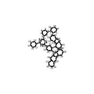 c1ccc(-c2cccc(-c3nc(-c4ccccc4)nc(-c4ccc(-n5c6ccccc6c6cc7ccccc7cc65)c(-c5cccc6sc7ccccc7c56)c4)n3)c2)cc1